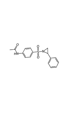 CC(=O)Nc1ccc(S(=O)(=O)N2CC2c2ccccc2)cc1